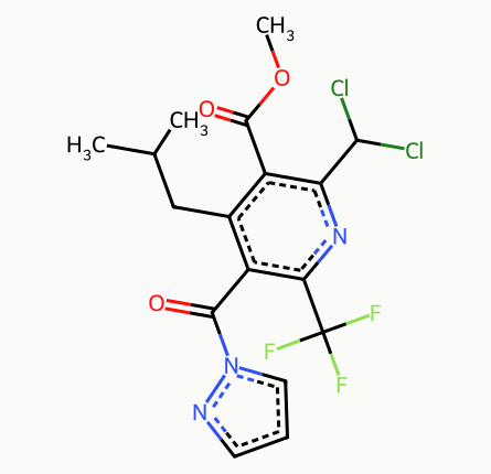 COC(=O)c1c(C(Cl)Cl)nc(C(F)(F)F)c(C(=O)n2cccn2)c1CC(C)C